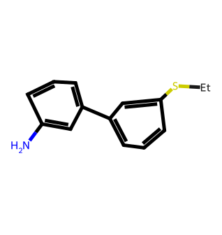 CCSc1cccc(-c2cccc(N)c2)c1